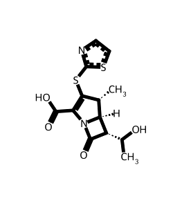 CC(O)[C@@H]1C(=O)N2C(C(=O)O)=C(Sc3nccs3)[C@H](C)[C@@H]12